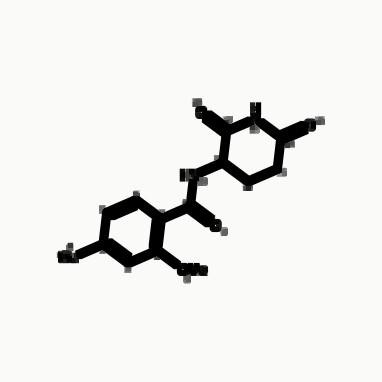 COc1cc(C(C)(C)C)ccc1C(=O)NC1CCC(=O)NC1=O